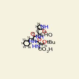 C[C@@H](OC(C)(C)C)[C@H](NC(=O)O)C(=O)N[C@@H](CC1CCCCC1)C(=O)N[C@H](C=O)C[C@@H]1CCNC1=O